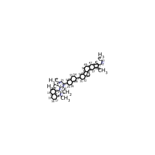 C=CC(/C(C=C)=C(\C=C\C)c1cccc2ccccc12)=C(/C=C/C)c1ccc2cc(-c3ccc4oc5c6cc7c(C)c(/C=C\C)sc7cc6ccc5c4c3)ccc2c1